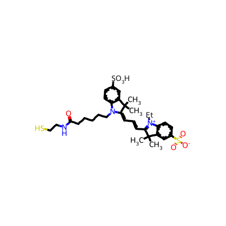 CC[N+]1=C(/C=C/C=C2/N(CCCCCC(=O)NCCS)c3ccc(S(=O)(=O)O)cc3C2(C)C)C(C)(C)c2cc(S(=O)(=O)[O-])ccc21